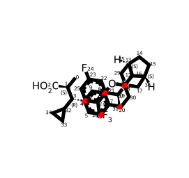 C[C@H](C(=O)O)[C@H](c1ccc2c(c1)OC(C1[C@@H]3CC[C@@H]1CN([C@@H](C)c1cc(F)ccc1C(F)(F)F)C3)CC2)C1CC1